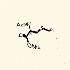 COC(=O)[C@H](CSC(C)C)NC(C)=O